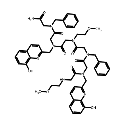 COCCNCC(=O)N(CC(=O)N(CC(=O)N(CCOC)CC(=O)N(CC(=O)N(CC(N)=O)Cc1ccccc1)Cc1ccc2cccc(O)c2n1)Cc1ccccc1)Cc1ccc2cccc(O)c2n1